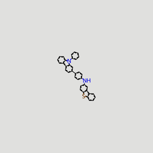 c1ccc(-n2c3ccccc3c3ccc(-c4ccc(Nc5ccc6sc7ccccc7c6c5)cc4)cc32)cc1